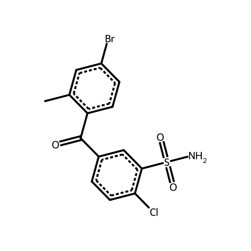 Cc1cc(Br)ccc1C(=O)c1ccc(Cl)c(S(N)(=O)=O)c1